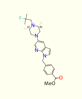 COC(=O)c1ccc(Cn2ccc3cc(N4C[C@@H](C)N(CC(C)(C)F)[C@@H](C)C4)cnc32)cc1